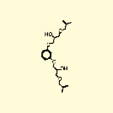 C=C(C)COCC(O)COc1cccc(OCC(O)COCC(=C)C)c1